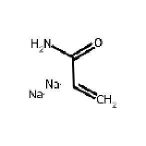 C=CC(N)=O.[Na].[Na]